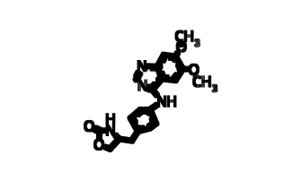 COc1cc2ncnc(Nc3ccc(CC4COC(=O)N4)cc3)c2cc1OC